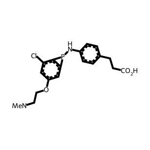 CNCCOc1cc(Cl)c2c(c1)P2Nc1ccc(CCC(=O)O)cc1